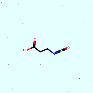 O=C=NCCC(=O)O